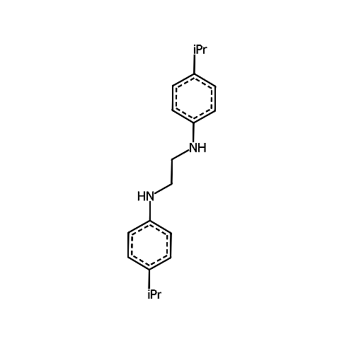 CC(C)c1ccc(NCCNc2ccc(C(C)C)cc2)cc1